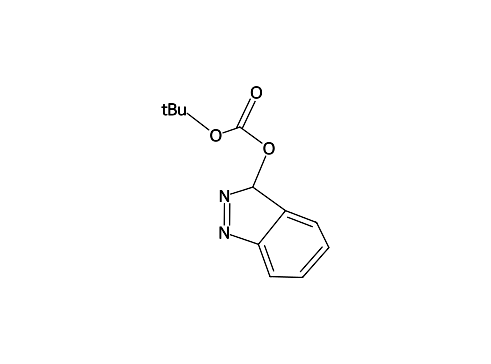 CC(C)(C)OC(=O)OC1N=Nc2ccccc21